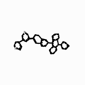 C1=C(c2cncc(-c3ccncc3)c2)CCc2cc(-c3c4ccccc4c(-c4ccccc4)c4ccccc34)ccc21